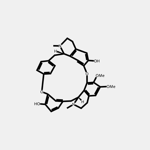 COc1cc2c3c(c1OC)Oc1cc4c(cc1O)CCN(C)[C@H]4Cc1ccc(cc1)Oc1cc(ccc1O)C[C@H]3N(C)CC2